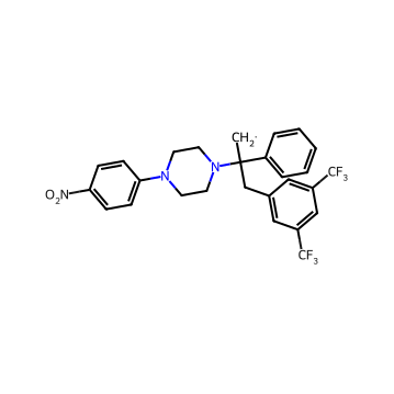 [CH2]C(Cc1cc(C(F)(F)F)cc(C(F)(F)F)c1)(c1ccccc1)N1CCN(c2ccc([N+](=O)[O-])cc2)CC1